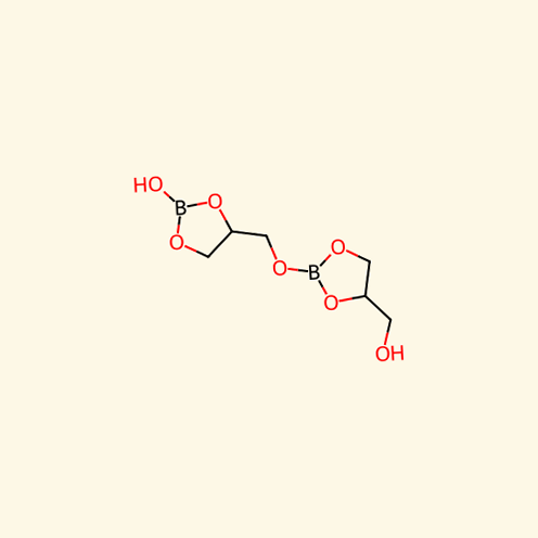 OCC1COB(OCC2COB(O)O2)O1